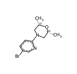 C[C@@H]1CN(c2ccc(Br)cn2)C[C@H](C)O1